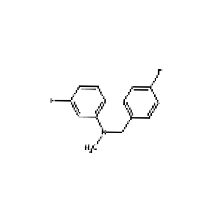 CN(Cc1ccc(F)cc1)c1cccc(F)c1